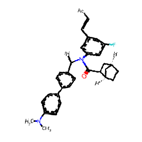 [2H]C(c1ccc(-c2ccc(N(C)C)cc2)cc1)N(C(=O)C1C[C@H]2CC[C@@H]1C2)c1cc(F)cc(/C=C/C(C)=O)c1